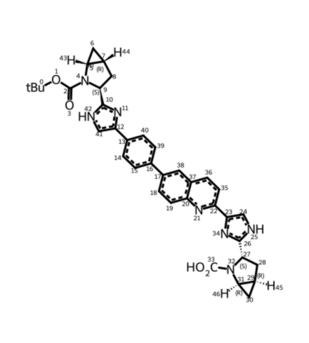 CC(C)(C)OC(=O)N1[C@@H]2C[C@@H]2C[C@H]1c1nc(-c2ccc(-c3ccc4nc(-c5c[nH]c([C@@H]6C[C@H]7C[C@H]7N6C(=O)O)n5)ccc4c3)cc2)c[nH]1